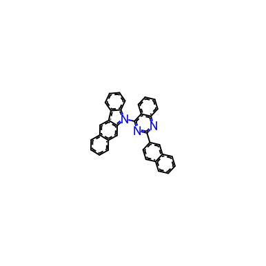 c1ccc2cc(-c3nc(-n4c5ccccc5c5cc6ccccc6cc54)c4ccccc4n3)ccc2c1